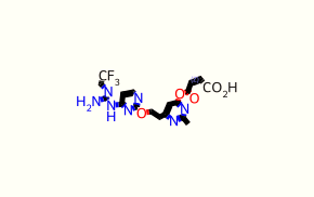 Cc1nc(CCOc2nccc(NC(N)=NCC(F)(F)F)n2)cc(OC(=O)/C=C\C(=O)O)n1